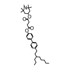 CCCCCC(CCC)CCc1ccc(-c2ccc(OC(=O)CCC(=O)OC3CC(C)(C)N(C)C(C)(C)C3)cc2)cc1